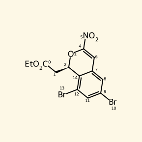 CCOC(=O)C[C@H]1OC([N+](=O)[O-])=Cc2cc(Br)cc(Br)c21